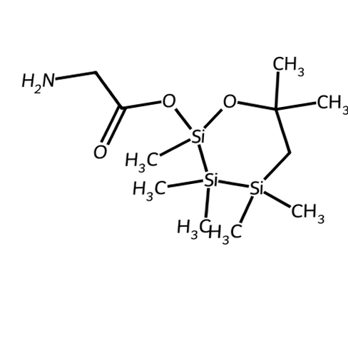 CC1(C)C[Si](C)(C)[Si](C)(C)[Si](C)(OC(=O)CN)O1